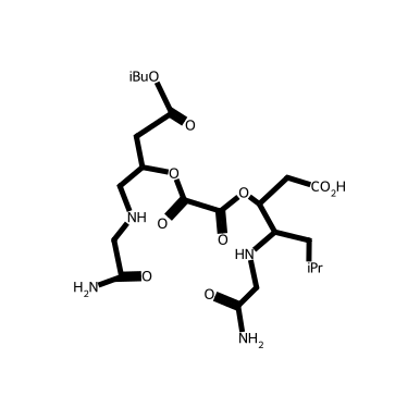 CC(C)COC(=O)CC(CNCC(N)=O)OC(=O)C(=O)OC(CC(=O)O)C(CC(C)C)NCC(N)=O